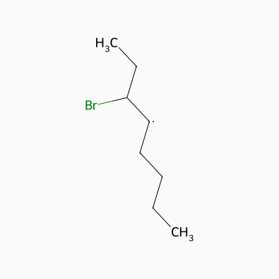 CCCC[CH]C(Br)CC